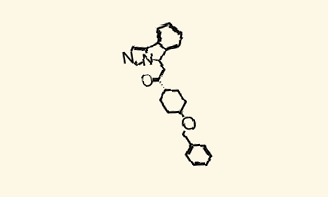 O=C(CC1c2ccccc2-c2cncn21)[C@H]1CC[C@H](OCc2ccccc2)CC1